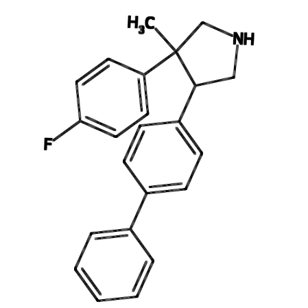 CC1(c2ccc(F)cc2)CNCC1c1ccc(-c2ccccc2)cc1